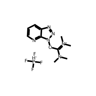 CN(C)C(On1nnc2cccnc21)=[N+](C)C.F[PH-](F)(F)F